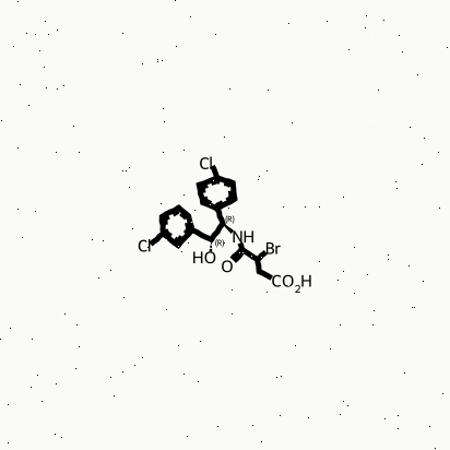 O=C(O)CC(Br)C(=O)N[C@H](c1ccc(Cl)cc1)[C@H](O)c1cccc(Cl)c1